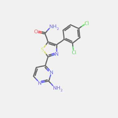 NC(=O)c1sc(-c2ccnc(N)n2)nc1-c1ccc(Cl)cc1Cl